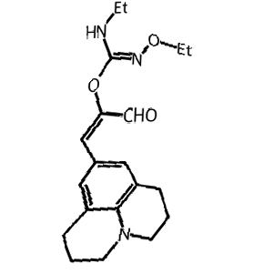 CCNC(=NOCC)O/C(C=O)=C/c1cc2c3c(c1)CCCN3CCC2